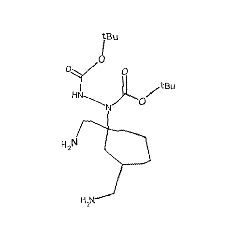 CC(C)(C)OC(=O)NN(C(=O)OC(C)(C)C)C1(CN)CCCC(CN)C1